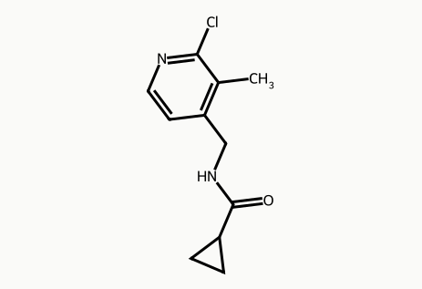 Cc1c(CNC(=O)C2CC2)ccnc1Cl